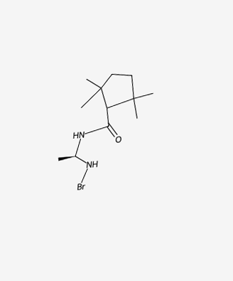 C[C@H](NBr)NC(=O)C1C(C)(C)CCC1(C)C